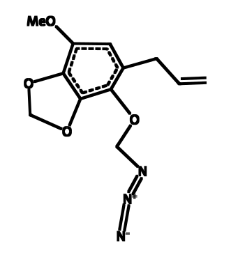 C=CCc1cc(OC)c2c(c1OCN=[N+]=[N-])OCO2